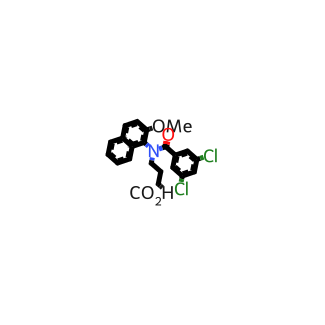 COc1ccc2ccccc2c1N(CCCC(=O)O)C(=O)c1cc(Cl)cc(Cl)c1